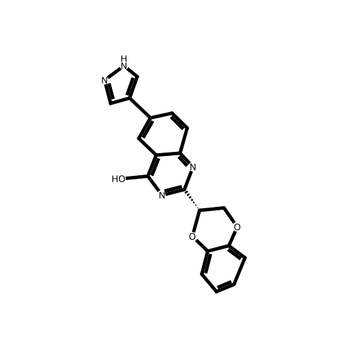 Oc1nc([C@@H]2COc3ccccc3O2)nc2ccc(-c3cn[nH]c3)cc12